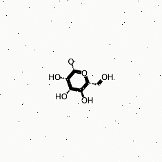 [O][C@@H]1O[C@H](CO)[C@@H](O)[C@H](O)[C@@H]1O